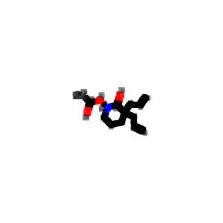 C=CCC1(CC=C)CCCN(OC(=O)C(C)(C)C)C1=O